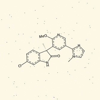 COc1ncc(-c2nccn2C)cc1[C@@]1(C)C(=O)Nc2cc(Cl)ccc21